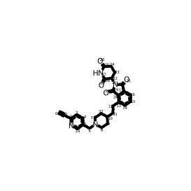 C#Cc1ccc(CN2CCC(CCc3cccc4c3C(=O)N(C3CCC(=O)NC3=O)C4=O)CC2)cn1